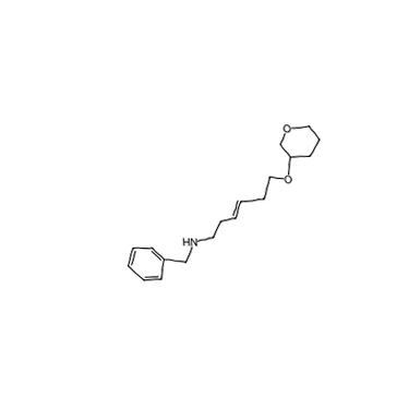 C(=CCCOC1CCCOC1)CCNCc1ccccc1